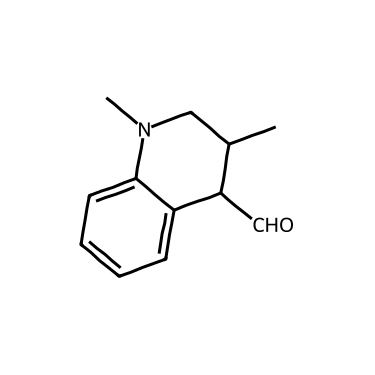 CC1CN(C)c2ccccc2C1C=O